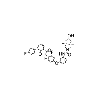 O=C(Nc1ccc(Oc2ccnc(NC(=O)N3C[C@H]4C[C@@H](O)C[C@H]4C3)c2)cc1F)c1cccn(-c2ccc(F)cc2)c1=O